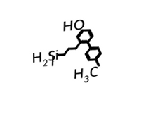 CCc1ccc(-c2ccc(O)cc2CCC[SiH2]I)cc1